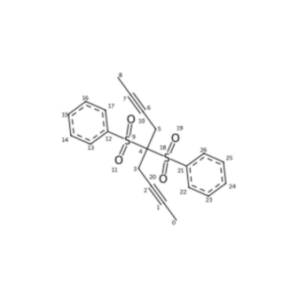 CC#CCC(CC#CC)(S(=O)(=O)c1ccccc1)S(=O)(=O)c1ccccc1